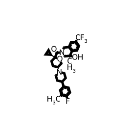 Cc1cc(C2CCN([C@@H]3CC[C@@](C(=O)N4Cc5cc(C(F)(F)F)ccc5[C@@](C)(O)C4)(C4CC4)OC3)CC2)ccc1F